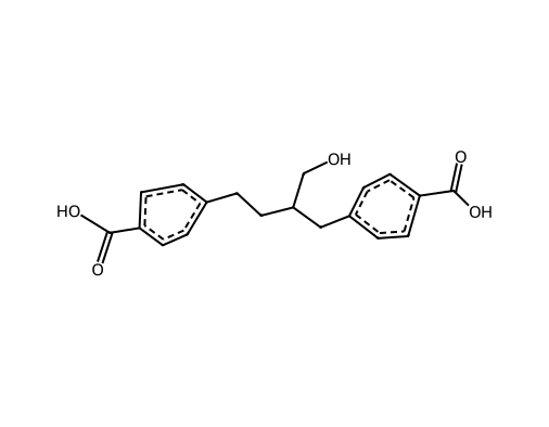 O=C(O)c1ccc(CCC(CO)Cc2ccc(C(=O)O)cc2)cc1